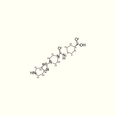 O=C(N[C@H]1CC[C@H](C(=O)O)CC1)N1CCN(c2nc3c(s2)CNCC3)CC1